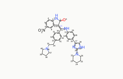 O=C1Nc2ccc([N+](=O)[O-])cc2/C1=C(/Nc1ccc(-c2c[nH]c(N3CCCCC3)n2)cc1)c1ccc(CCN2CCCC2)cc1